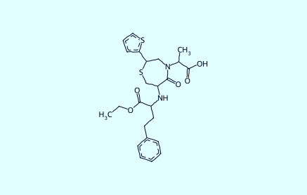 CCOC(=O)C(CCc1ccccc1)NC1CSC(c2cccs2)CN(C(C)C(=O)O)C1=O